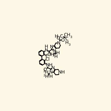 [2H]C([2H])([2H])n1c(C(=O)Nc2cccc(-c3cccc(NC(=O)c4nc5c(n4C([2H])([2H])[2H])CCNC5)c3Cl)c2F)nc2c1CCN(C(=O)OC(C)(C)C)C2